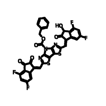 O=C1C(=O)c2c(F)cc(F)cc2/C1=C/c1nc2c(s1)c1sc(/C=C3\C(=O)C(O)c4c(F)cc(F)cc43)nc1n2C(=O)OCc1ccccc1